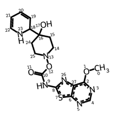 COc1ncnc2sc(NC(=O)ON3CCC(O)(C4C=CC=CN4)CC3)nc12